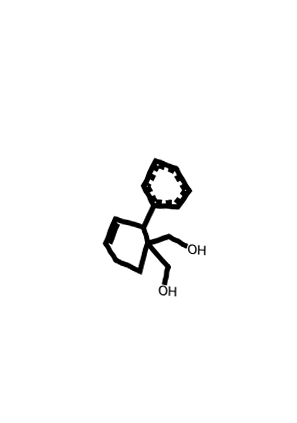 OCC1(CO)CCC=CC1c1ccccc1